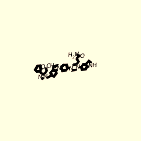 CC(O)Cc1c(-c2ccccc2)ncn1Cc1ccc2c(ccn2-c2ccc(N3CCN(c4ccc5[nH]ccc5c4)C(CCC(N)=O)C3)cc2)c1